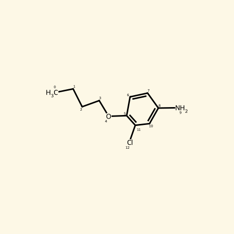 CCCCOc1ccc(N)cc1Cl